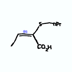 C/C=C(/SCCC)C(=O)O